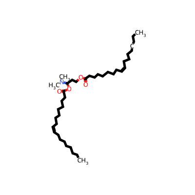 CCCCCCCC/C=C\CCCCCCCC(=O)OCCC(OC(=O)CCCCCCC/C=C\CCCCCCCC)N(C)C